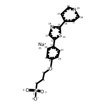 O=S(=O)([O-])CCCOc1ccc(-c2cnc(-c3ccncc3)s2)cc1.[Na+]